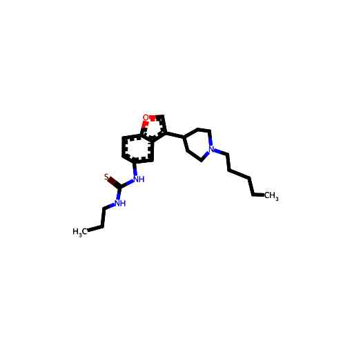 CCCCCN1CCC(c2coc3ccc(NC(=S)NCCC)cc23)CC1